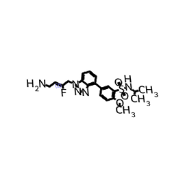 COc1ccc(-c2cccc3c2nnn3C/C(F)=C/CN)cc1S(=O)(=O)NC(C)C